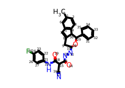 Cc1ccc2c(c1)C=C1CC(N=NC(=O)C(C#N)C(=O)Nc3ccc(F)cc3)OC(c3ccccc3)C12